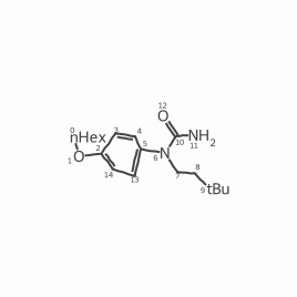 CCCCCCOc1ccc(N(CCC(C)(C)C)C(N)=O)cc1